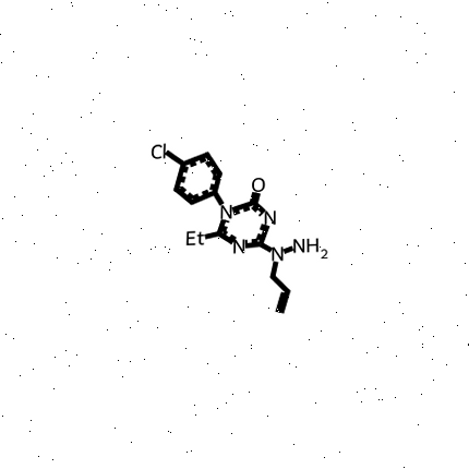 C=CCN(N)c1nc(CC)n(-c2ccc(Cl)cc2)c(=O)n1